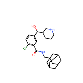 O=C(NCC12CC3CC(CC(C3)C1)C2)c1cc(C(O)C2CCCNC2)ccc1Cl